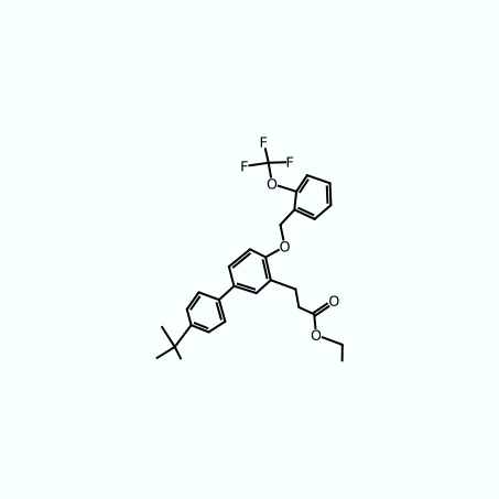 CCOC(=O)CCc1cc(-c2ccc(C(C)(C)C)cc2)ccc1OCc1ccccc1OC(F)(F)F